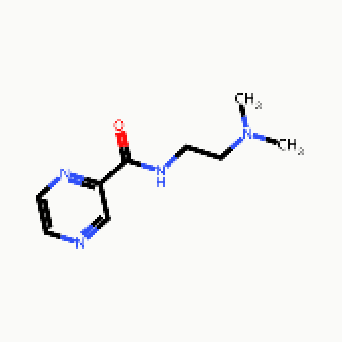 CN(C)CCNC(=O)c1cnccn1